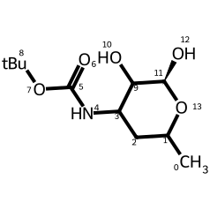 CC1CC(NC(=O)OC(C)(C)C)C(O)[C@@H](O)O1